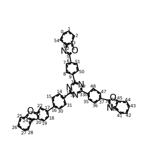 c1ccc2oc(-c3ccc(-c4nc(-c5ccc(-c6ccc7c(c6)oc6ccccc67)cc5)nc(-c5ccc(-c6nc7ccccc7o6)cc5)n4)cc3)nc2c1